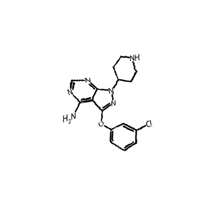 Nc1ncnc2c1c(Oc1cccc(Cl)c1)nn2C1CCNCC1